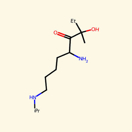 CCC(C)(O)C(=O)C(N)CCCCNC(C)C